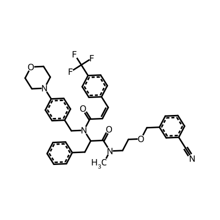 CN(CCOCc1cccc(C#N)c1)C(=O)C(Cc1ccccc1)N(Cc1ccc(N2CCOCC2)cc1)C(=O)C=Cc1ccc(C(F)(F)F)cc1